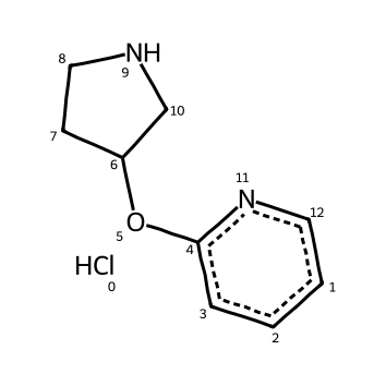 Cl.c1ccc(OC2CCNC2)nc1